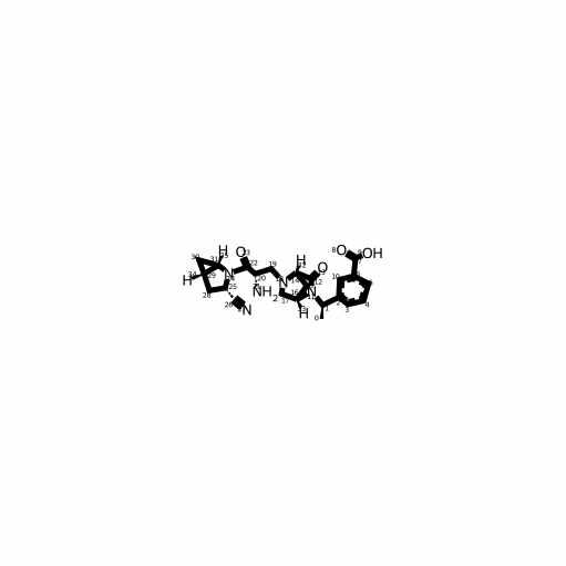 C[C@H](c1cccc(C(=O)O)c1)N1C(=O)[C@@H]2C[C@H]1CN2C[C@H](N)C(=O)N1[C@H](C#N)C[C@@H]2C[C@@H]21